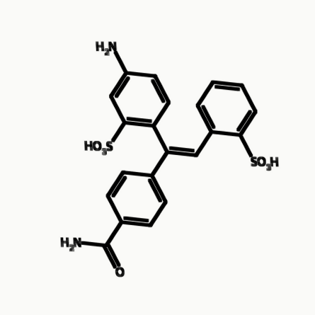 NC(=O)c1ccc(C(=Cc2ccccc2S(=O)(=O)O)c2ccc(N)cc2S(=O)(=O)O)cc1